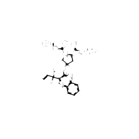 C=CC(F)(F)c1nc2ccccc2nc1O[C@]1(C)C[C@@H](C(=O)OC)N(C(=O)OC(C)(C)C)C1